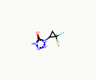 O=c1[nH]nnn1C1CC1(F)Cl